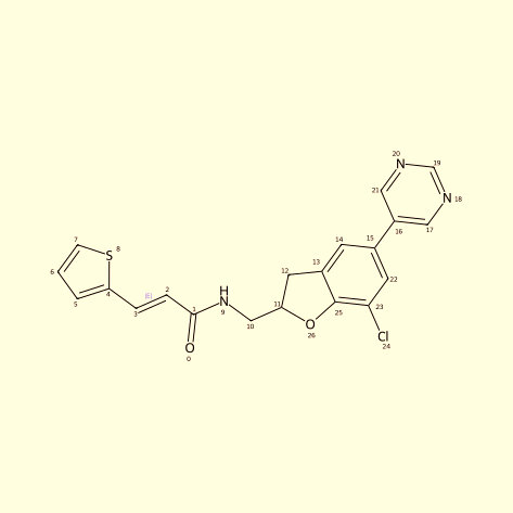 O=C(/C=C/c1cccs1)NCC1Cc2cc(-c3cncnc3)cc(Cl)c2O1